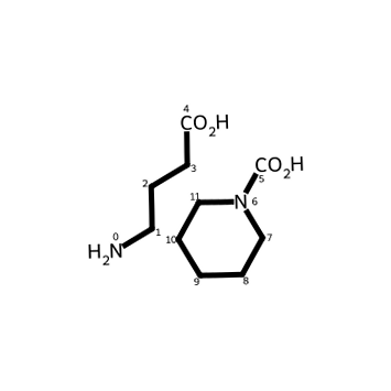 NCCCC(=O)O.O=C(O)N1CCCCC1